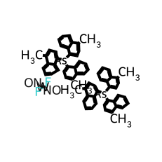 Cc1ccc([As](c2ccc(C)c3ccccc23)c2ccc(C)c3ccccc23)c2ccccc12.Cc1ccc([As](c2ccc(C)c3ccccc23)c2ccc(C)c3ccccc23)c2ccccc12.O=[N][W]([F])([F])[N]=O